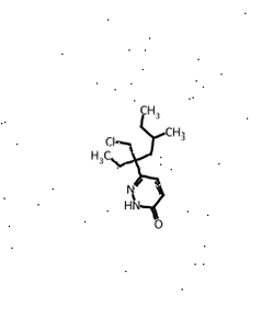 CCC(C)CC(CC)(CCl)c1ccc(=O)[nH]n1